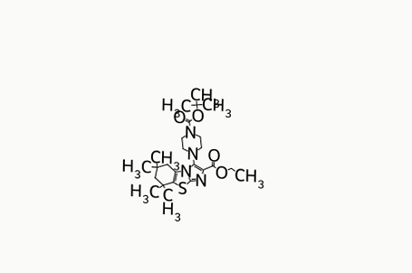 CCOC(=O)c1nc2sc3c(n2c1N1CCN(C(=O)OC(C)(C)C)CC1)CC(C)(C)CC3(C)C